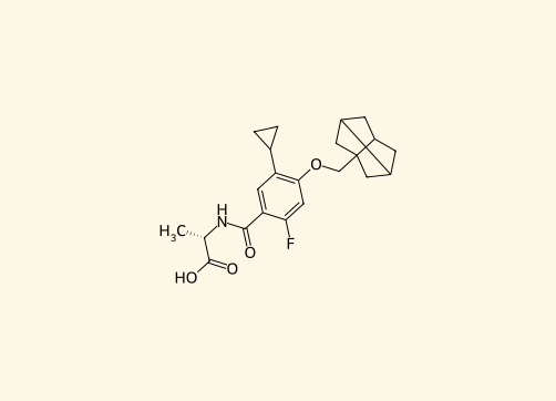 C[C@H](NC(=O)c1cc(C2CC2)c(OCC23CC4CC2CC4C3)cc1F)C(=O)O